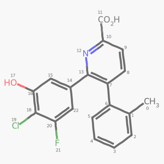 Cc1ccccc1-c1ccc(C(=O)O)nc1-c1cc(O)c(Cl)c(F)c1